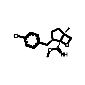 COC(=N)[C@@]12OC[C@]1(C)CC[C@@H]2Cc1ccc(Cl)cc1